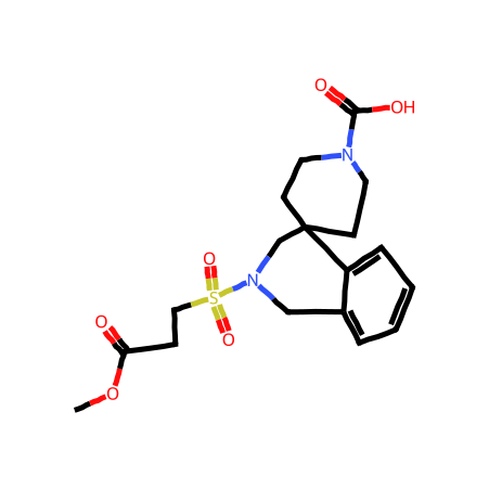 COC(=O)CCS(=O)(=O)N1Cc2ccccc2C2(CCN(C(=O)O)CC2)C1